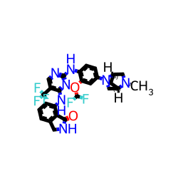 CN1C[C@@H]2C[C@H]1CN2c1ccc(Nc2ncc(C(F)(F)F)c(Nc3cccc4c3C(=O)NC4)n2)c(OC(F)F)c1